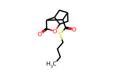 CCCCSC(=O)C1C2CC3OC(=O)C1C3C2